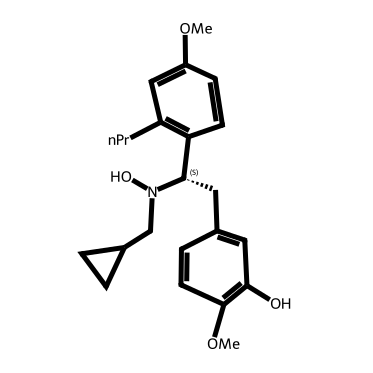 CCCc1cc(OC)ccc1[C@H](Cc1ccc(OC)c(O)c1)N(O)CC1CC1